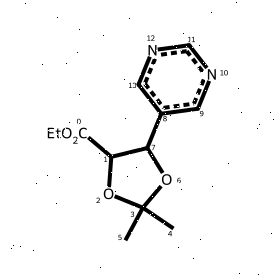 CCOC(=O)C1OC(C)(C)OC1c1cncnc1